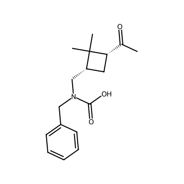 CC(=O)[C@@H]1C[C@H](CN(Cc2ccccc2)C(=O)O)C1(C)C